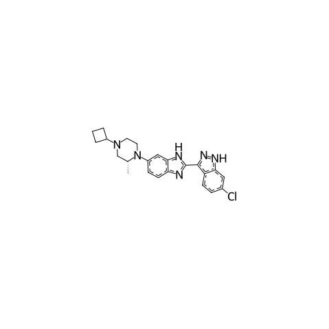 C[C@@H]1CN(C2CCC2)CCN1c1ccc2nc(-c3n[nH]c4cc(Cl)ccc34)[nH]c2c1